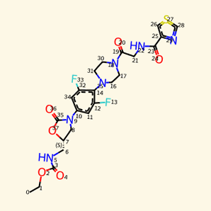 CCOC(=O)NC[C@H]1CN(c2cc(F)c(N3CCN(C(=O)CNC(=O)c4cscn4)CC3)c(F)c2)C(=O)O1